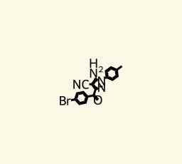 Cc1ccc(-n2nc(C(=O)c3ccc(Br)cc3)c(C#N)c2N)cc1